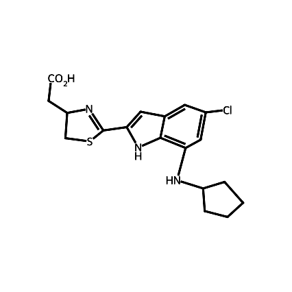 O=C(O)CC1CSC(c2cc3cc(Cl)cc(NC4CCCC4)c3[nH]2)=N1